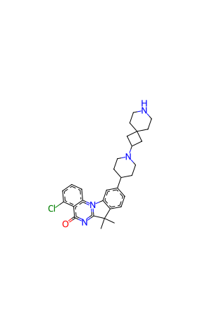 CC1(C)c2ccc(C3CCN(C4CC5(CCNCC5)C4)CC3)cc2-n2c1nc(=O)c1c(Cl)cccc12